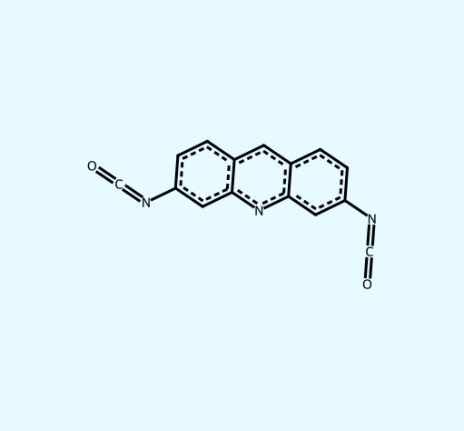 O=C=Nc1ccc2cc3ccc(N=C=O)cc3nc2c1